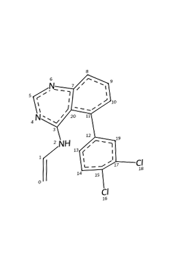 C=CNc1ncnc2cccc(-c3ccc(Cl)c(Cl)c3)c12